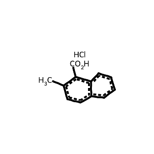 Cc1ccc2ccccc2c1C(=O)O.Cl